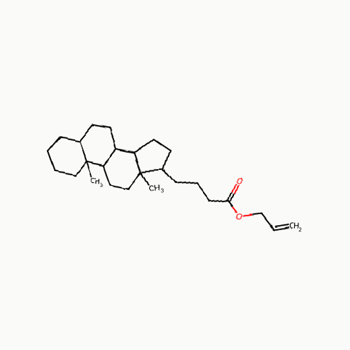 C=CCOC(=O)CCCC1CCC2C3CCC4CCCCC4(C)C3CCC12C